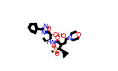 CC[C@H](NC(=O)C(CC(=O)N1CCOCC1)C(C1CC1)S(C)(=O)=O)[C@@H](O)c1nc(-c2ccccc2)no1